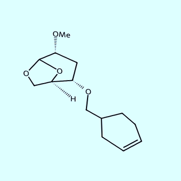 CO[C@@H]1C[C@H](OCC2CC=CCC2)[C@H]2COC1O2